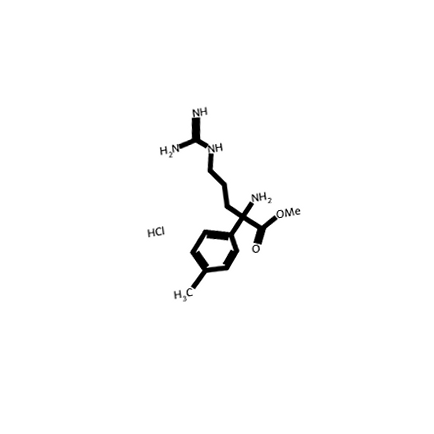 COC(=O)C(N)(CCCNC(=N)N)c1ccc(C)cc1.Cl